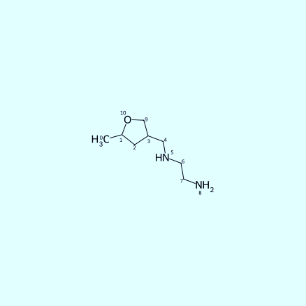 CC1CC(CNCCN)CO1